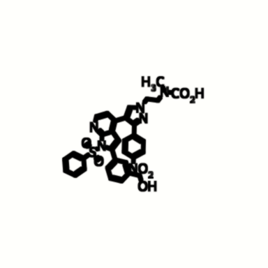 CN(CCn1cc(-c2ccnc3c2cc(-c2cccc(CO)c2)n3S(=O)(=O)c2ccccc2)c(-c2ccc([N+](=O)[O-])cc2)n1)C(=O)O